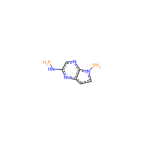 PNc1cnc2c(ccn2P)n1